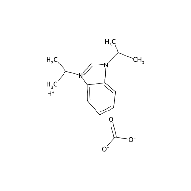 CC(C)n1c[n+](C(C)C)c2ccccc21.O=C([O-])[O-].[H+]